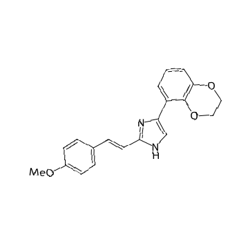 COc1ccc(C=Cc2nc(-c3cccc4c3OCCO4)c[nH]2)cc1